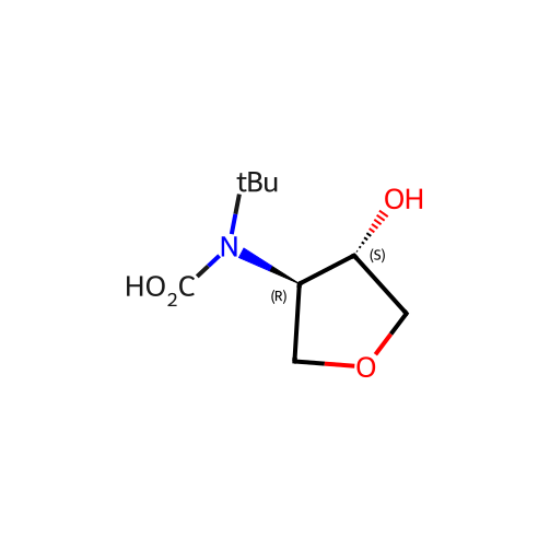 CC(C)(C)N(C(=O)O)[C@@H]1COC[C@H]1O